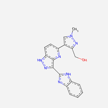 Cn1cc(-c2ccc3[nH]nc(-c4nc5ccccc5[nH]4)c3n2)c(CO)n1